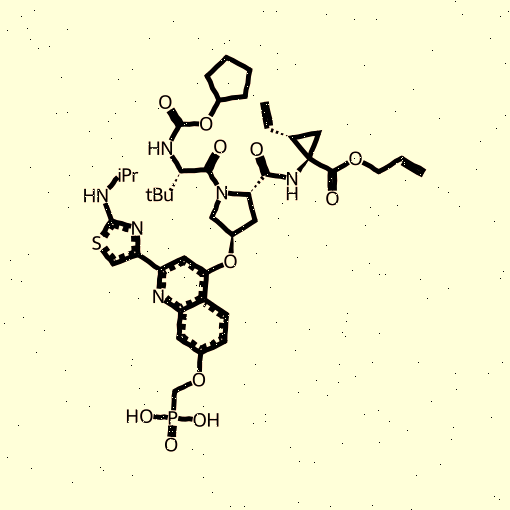 C=CCOC(=O)[C@@]1(NC(=O)[C@@H]2C[C@@H](Oc3cc(-c4csc(NC(C)C)n4)nc4cc(OCP(=O)(O)O)ccc34)CN2C(=O)[C@@H](NC(=O)OC2CCCC2)C(C)(C)C)C[C@H]1C=C